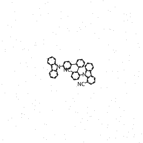 N#Cc1cccc(-n2c3ccccc3c3cccc(C#N)c32)c1-c1ccccc1-c1ccc(-n2c3ccccc3c3ccccc32)cc1